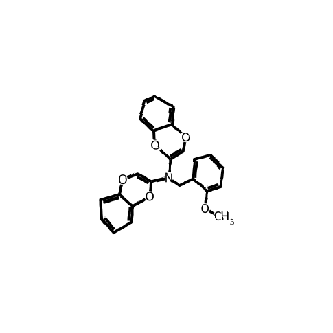 COc1ccccc1CN(C1=COc2ccccc2O1)C1=COc2ccccc2O1